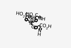 O=C(O)[C@@H](Cc1cccc(CCN(CCOc2cccc(C[C@H](C(=O)O)[C@H]3CCNC3)c2)C(=O)Cc2cccc(C[C@H](C(=O)O)[C@H]3CCNC3)c2)c1)[C@H]1CCNC1